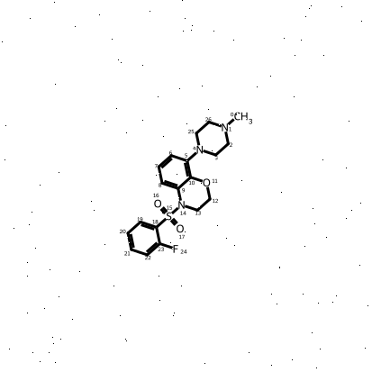 CN1CCN(c2cccc3c2OCCN3S(=O)(=O)c2ccccc2F)CC1